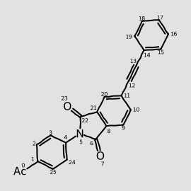 CC(=O)c1ccc(N2C(=O)c3ccc(C#Cc4ccccc4)cc3C2=O)cc1